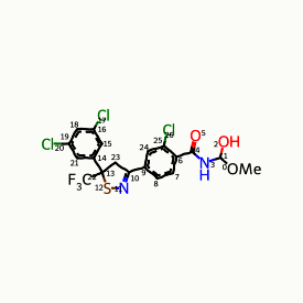 COC(O)NC(=O)c1ccc(C2=NSC(c3cc(Cl)cc(Cl)c3)(C(F)(F)F)C2)cc1Cl